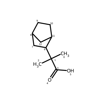 CC(C)(C(=O)O)C1CC2CCC1C2